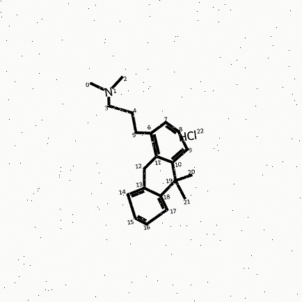 CN(C)CCCc1cccc2c1Cc1ccccc1C2(C)C.Cl